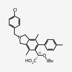 Cc1ccc(-c2c(C)c3c(c(C)c2[C@H](OC(C)(C)C)C(=O)O)CN(Cc2ccc(Cl)cc2)C3)cc1